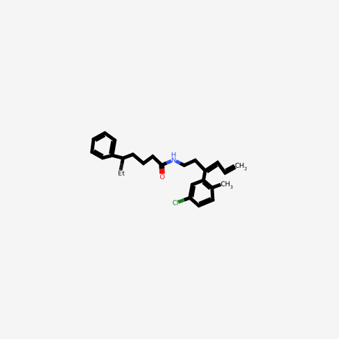 C=C/C=C(/CCNC(=O)CCCC(CC)c1ccccc1)c1cc(Cl)ccc1C